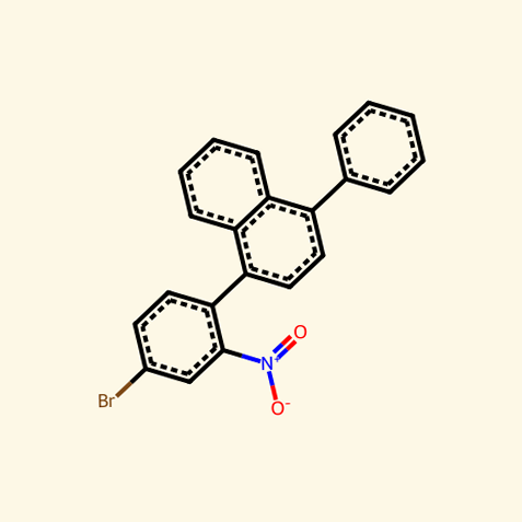 O=[N+]([O-])c1cc(Br)ccc1-c1ccc(-c2ccccc2)c2ccccc12